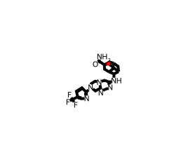 N#C/N=C(\CN1CCN(c2ccc(C(F)(F)F)cn2)CC1)NC1C2CC3CC1CC(C(N)=O)(C3)C2